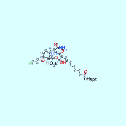 CCCCCCCC(=O)CCCCCC/C=C/[C@H](C(=O)N[C@@H](Cc1ccc(OCCCF)cc1)C(N)=O)[C@@](O)(OCCC)C(=O)O